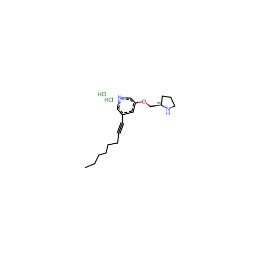 CCCCCCC#Cc1cncc(OC[C@H]2CCCN2)c1.Cl.Cl